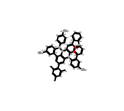 Cc1cc(C)c(-c2cc3c4c(c2)N(c2ccc(C(C)(C)C)cc2-c2ccccc2)c2cc5oc6ccccc6c5cc2B4N(c2ccc(C(C)(C)C)cc2)c2ccc(C(C)(C)C)cc2-3)c(C)c1